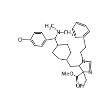 COC(=O)C1(CC(C)C)N=CN(CCc2ccccc2)C1CC1CCC(C(c2ccc(Cl)cc2)N(C)C)CC1